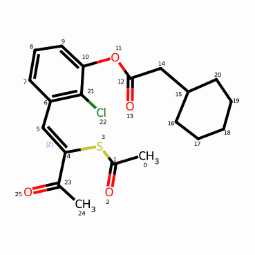 CC(=O)S/C(=C\c1cccc(OC(=O)CC2CCCCC2)c1Cl)C(C)=O